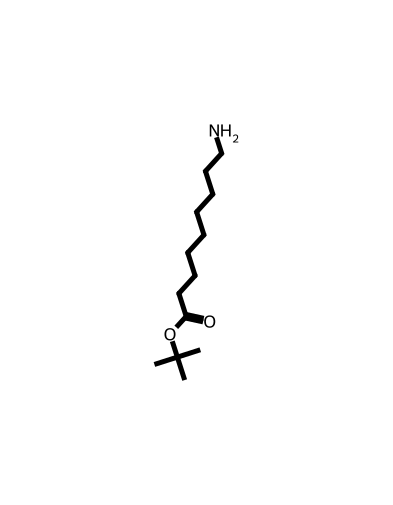 CC(C)(C)OC(=O)CCCCCCCCN